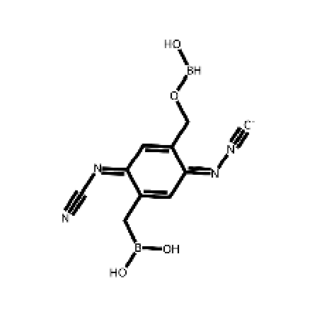 [C-]#[N+]/N=C1C=C(CB(O)O)/C(=N\C#N)C=C/1COBO